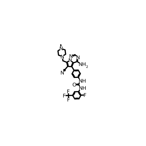 CN1CCN(Cc2c(C#N)c(-c3ccc(NC(=O)Nc4cc(C(F)(F)F)ccc4F)cc3)c3c(N)ncnn23)CC1